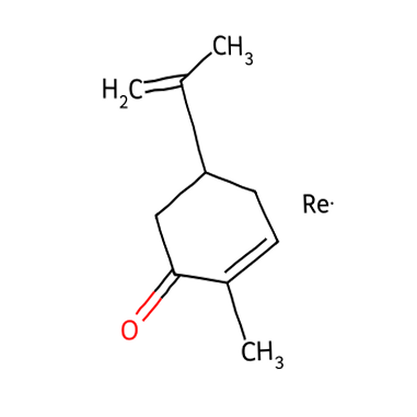 C=C(C)C1CC=C(C)C(=O)C1.[Re]